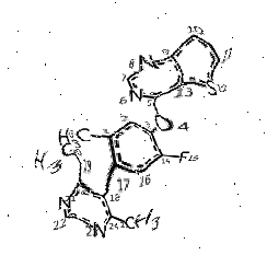 Cc1cc(Oc2ncnc3ccsc23)c(F)cc1-c1c(C)ncnc1C